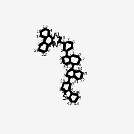 C1=Cc2c(-c3cccc(-c4cnc5c6ccccc6c6ccccc6c5n4)c3)cccc2C(c2ccc(-c3ccc4sc5ccccc5c4c3)c3ccccc23)C=C1